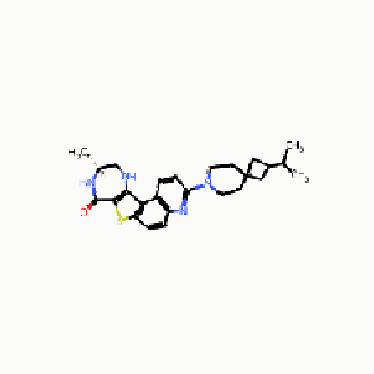 CC(C)C1CC2(CCN(c3ccc4c(ccc5sc6c(c54)NC[C@@H](C)NC6=O)n3)CC2)C1